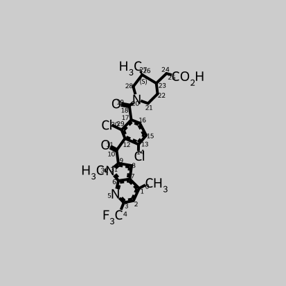 Cc1cc(C(F)(F)F)nc2c1cc(C(=O)c1c(Cl)ccc(C(=O)N3CCC(CC(=O)O)[C@H](C)C3)c1Cl)n2C